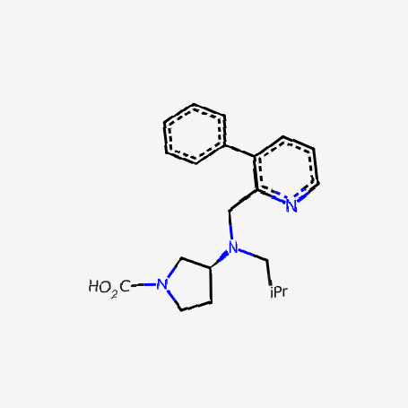 CC(C)CN(Cc1ncccc1-c1ccccc1)[C@H]1CCN(C(=O)O)C1